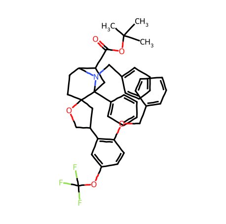 CC(C)(C)OC(=O)C1CC2(c3ccccc3)N(Cc3ccccc3)C1CCC21CC(c2cc(OC(F)(F)F)ccc2OCc2ccccc2)CO1